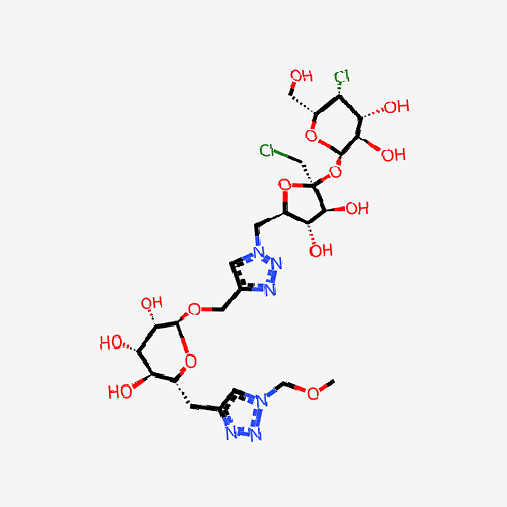 COCn1cc(C[C@H]2O[C@H](OCc3cn(C[C@H]4O[C@@](CCl)(O[C@H]5O[C@H](CO)[C@H](Cl)[C@H](O)[C@H]5O)[C@@H](O)[C@@H]4O)nn3)[C@@H](O)[C@@H](O)[C@@H]2O)nn1